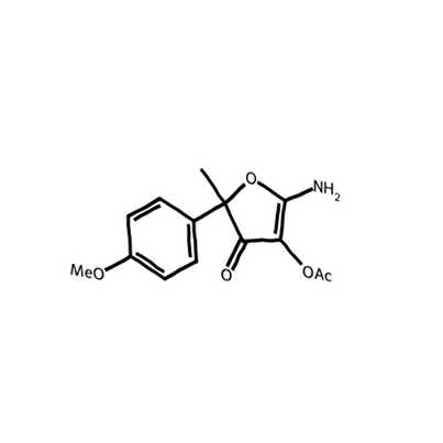 COc1ccc(C2(C)OC(N)=C(OC(C)=O)C2=O)cc1